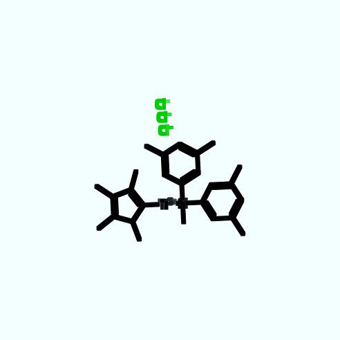 CC1=C(C)C(C)[C]([Ti+3][Si](C)(c2cc(C)cc(C)c2)c2cc(C)cc(C)c2)=C1C.[Cl-].[Cl-].[Cl-]